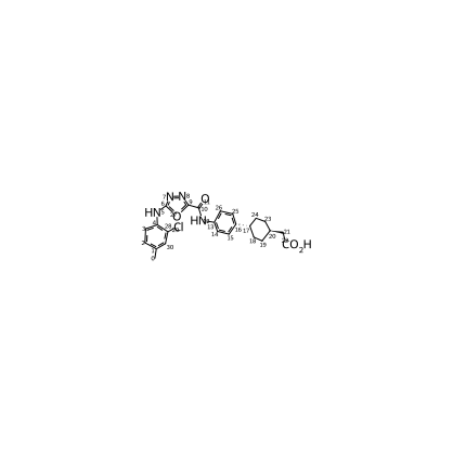 Cc1ccc(Nc2nnc(C(=O)Nc3ccc([C@H]4CC[C@H](CC(=O)O)CC4)cc3)o2)c(Cl)c1